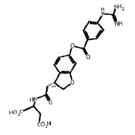 N=C(N)Nc1ccc(C(=O)Oc2ccc3c(c2)OC[C@@H]3CC(=O)NC(CC(=O)O)C(=O)O)cc1